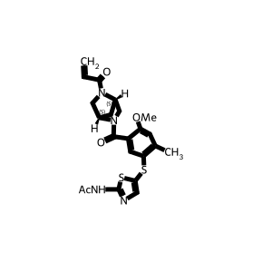 C=CC(=O)N1C[C@@H]2C[C@H]1CN2C(=O)c1cc(Sc2cnc(NC(C)=O)s2)c(C)cc1OC